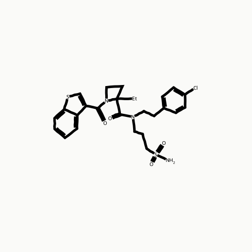 CCC1(C(=O)N(CCCS(N)(=O)=O)CCc2ccc(Cl)cc2)CCN1C(=O)c1csc2ccccc12